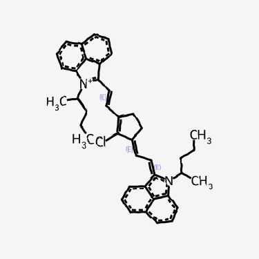 CCCC(C)n1/c(=C/C=C2\CCC(/C=C/C3=[N+](C(C)CCC)c4cccc5cccc3c45)=C2Cl)c2cccc3cccc1c32